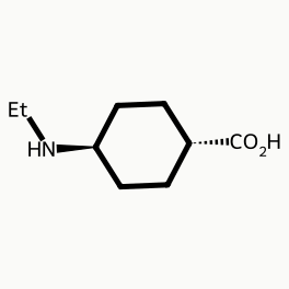 CCN[C@H]1CC[C@H](C(=O)O)CC1